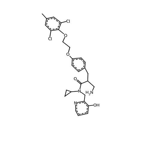 Cc1cc(Cl)c(OCCOc2ccc(CC(CN)C(=O)N(Cc3ncccc3O)C3CC3)cc2)c(Cl)c1